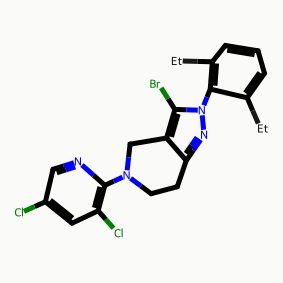 CCc1cccc(CC)c1-n1nc2c(c1Br)CN(c1ncc(Cl)cc1Cl)CC2